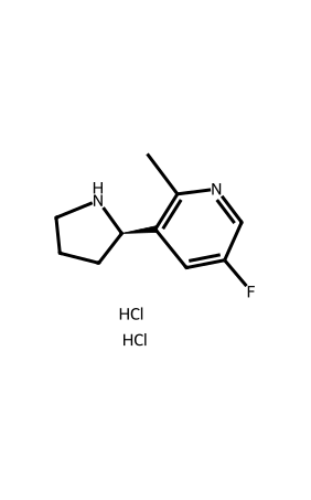 Cc1ncc(F)cc1[C@H]1CCCN1.Cl.Cl